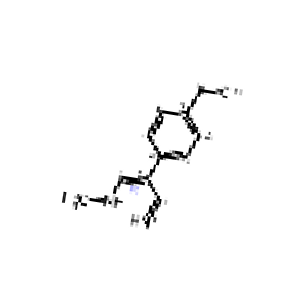 CN/C=C(\C=N)c1ccc(CCl)cc1